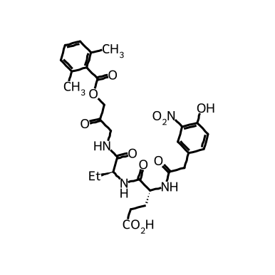 CC[C@H](NC(=O)[C@@H](CCC(=O)O)NC(=O)Cc1ccc(O)c([N+](=O)[O-])c1)C(=O)NCC(=O)COC(=O)c1c(C)cccc1C